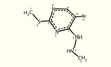 CNNc1nc(SC)ncc1Br